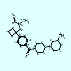 CC1CCCN(C2CCN(C(=O)c3ccc(C4(CN(C)C=O)CCC4)cc3)CC2)C1